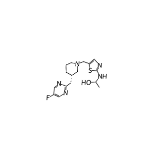 CC(O)Nc1ncc(CN2CCC[C@@H](Cc3ncc(F)cn3)C2)s1